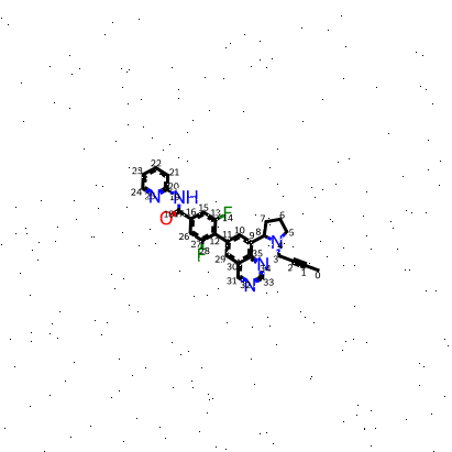 CC#CCN1CCCC1c1cc(-c2c(F)cc(C(=O)Nc3ccccn3)cc2F)cc2cncnc12